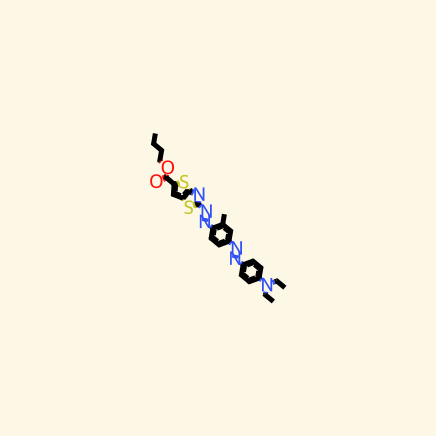 CCCCOC(=O)c1cc2sc(N=Nc3ccc(N=Nc4ccc(N(CC)CC)cc4)cc3C)nc2s1